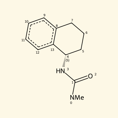 CNC(=O)N[C@H]1CCCc2ccccc21